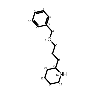 c1ccc(COCCCC2CCCCN2)cc1